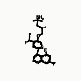 C[C@H](COc1cnc(-c2ccnc3cc(F)cc(F)c23)cc1C(F)F)CC(C)(C)N